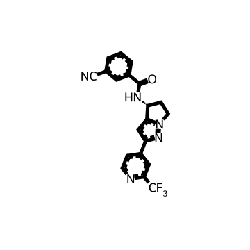 N#Cc1cccc(C(=O)N[C@@H]2CCn3nc(-c4ccnc(C(F)(F)F)c4)cc32)c1